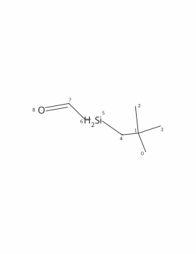 CC(C)(C)C[SiH2]CC=O